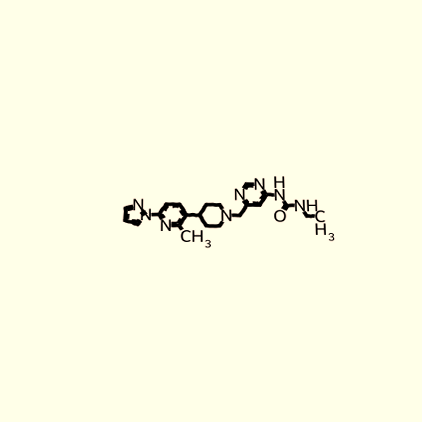 CCNC(=O)Nc1cc(CN2CCC(c3ccc(-n4cccn4)nc3C)CC2)ncn1